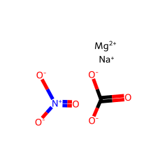 O=C([O-])[O-].O=[N+]([O-])[O-].[Mg+2].[Na+]